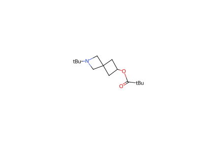 CC(C)(C)C(=O)OC1CC2(C1)CN(C(C)(C)C)C2